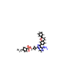 Cc1ccc(S(=O)(=O)OC[C@H]2C[C@@H](c3nc(-c4ccc5c(c4)O[C@@H](c4ccccc4)CC5)c4c(N)nccn43)C2)cc1